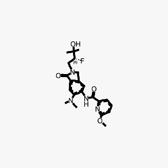 COc1cccc(C(=O)Nc2cc3c(cc2N(C)C)C(=O)N(C[C@@H](F)C(C)(C)O)C3)n1